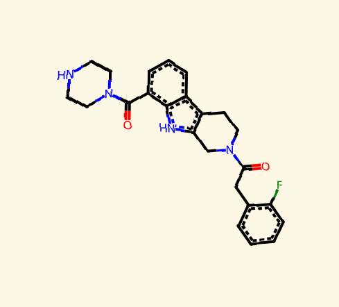 O=C(Cc1ccccc1F)N1CCc2c([nH]c3c(C(=O)N4CCNCC4)cccc23)C1